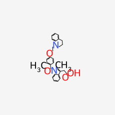 Cc1cc(OCCN2CCCc3ccccc32)ccc1C(=O)n1c(C)c(CC(=O)O)c2ccccc21